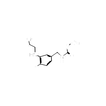 CC(C)(C)OC(=O)NCc1ccc(F)c(NCCC(F)(F)F)c1